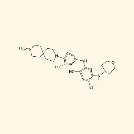 CCc1nc(C#N)c(Nc2ccc(N3CCC4(CCN(C)CC4)CC3)c(C)c2)nc1NC1CCOCC1